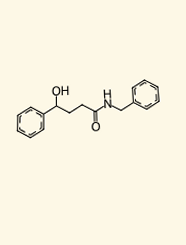 O=C(CCC(O)c1ccccc1)NCc1ccccc1